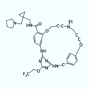 CCN1CCCOc2ccc(cc2)CNc2nc(nc(OCC(F)(F)F)n2)Nc2ccc(C(=O)NCC3(CN4CCCC4)CC3)c(c2)OCCC1